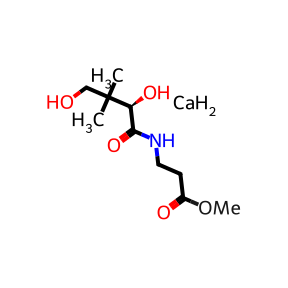 COC(=O)CCNC(=O)[C@H](O)C(C)(C)CO.[CaH2]